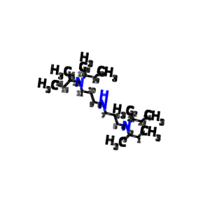 CCC(C)N(CCCNCCCN(C(C)CC)C(C)CC)C(C)CC